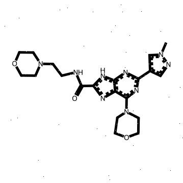 Cn1cc(-c2nc(N3CCOCC3)c3nc(C(=O)NCCN4CCOCC4)[nH]c3n2)cn1